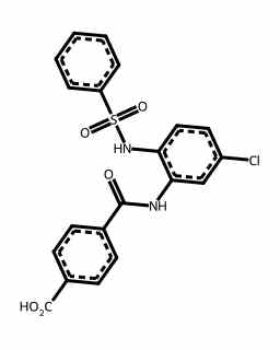 O=C(O)c1ccc(C(=O)Nc2cc(Cl)ccc2NS(=O)(=O)c2ccccc2)cc1